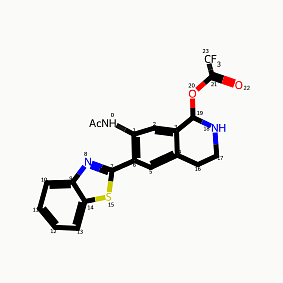 CC(=O)Nc1cc2c(cc1-c1nc3ccccc3s1)CCNC2OC(=O)C(F)(F)F